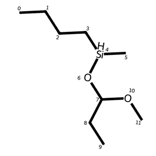 CCCC[SiH](C)OC(CC)OC